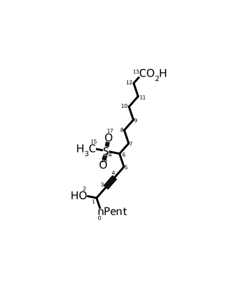 CCCCCC(O)C#CCC(CCCCCCC(=O)O)S(C)(=O)=O